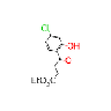 CCOC(=O)CCC(=O)c1ccc(Cl)cc1O